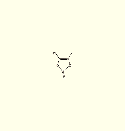 C=C1OC(C)=C(C(C)C)O1